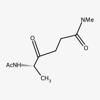 CNC(=O)CCC(=O)[C@H](C)NC(C)=O